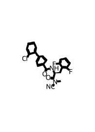 CN(C#N)C(=O)[C@H](Cc1c(F)cccc1F)NC(=O)c1ccc(-c2ccccc2Cl)cc1